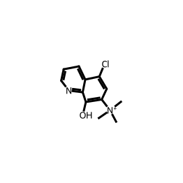 C[N+](C)(C)c1cc(Cl)c2cccnc2c1O